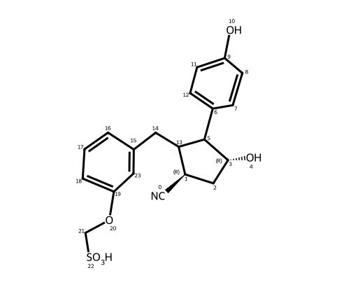 N#C[C@@H]1C[C@@H](O)C(c2ccc(O)cc2)C1Cc1cccc(OCS(=O)(=O)O)c1